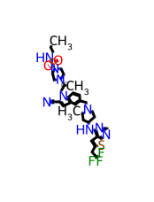 CCCNS(=O)(=O)N1CCN([C@@H](C)Cn2c(C#N)cc3c(C)c(CN4CCC(Nc5ncnc6sc(CC(F)(F)F)cc56)CC4)ccc32)CC1